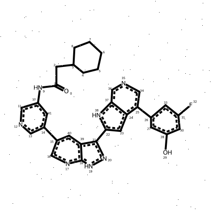 O=C(CC1CCCCC1)Nc1cncc(-c2cnc3[nH]nc(-c4cc5c(-c6cc(O)cc(F)c6)cncc5[nH]4)c3c2)c1